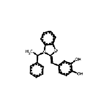 CC(c1ccccc1)N1/C(=C/c2ccc(O)c(O)c2)Oc2ccccc21